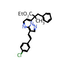 CCOC(=O)C(C)(Cc1ccccc1)c1ccnc2c(C=Cc3ccc(Cl)cc3)cnn12